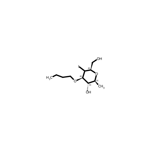 CCCCO[C@H]1C(I)[C@@H](CO)O[C@@H](C)[C@@H]1O